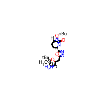 CCCCON1C(=O)N2C[C@@H]1CC[C@H]2c1nnc(CC(CN)O[Si](C)(C)C(C)(C)C)o1